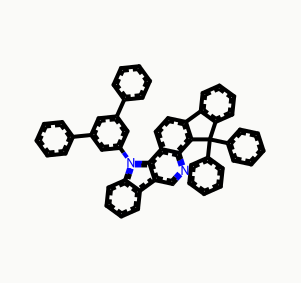 c1ccc(-c2cc(-c3ccccc3)cc(-n3c4ccccc4c4cnc5c6c(ccc5c43)-c3ccccc3C6(c3ccccc3)c3ccccc3)c2)cc1